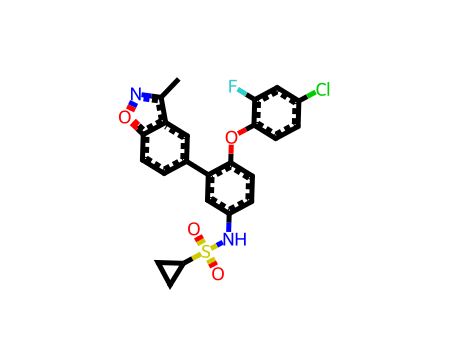 Cc1noc2ccc(-c3cc(NS(=O)(=O)C4CC4)ccc3Oc3ccc(Cl)cc3F)cc12